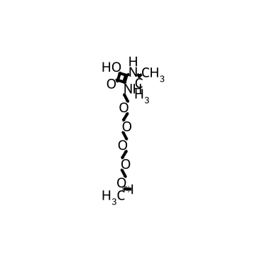 CC(C)NC1=C(NCCOCCOCCOCCOCCO[C@@H](C)I)C(=O)C1O